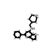 c1ccc(-c2cc(NCC3CCNCC3)c3sccc3n2)cc1